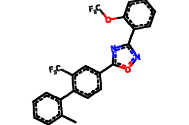 Cc1ccccc1-c1ccc(-c2nc(-c3ccccc3OC(F)(F)F)no2)cc1C(F)(F)F